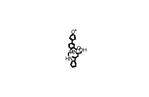 CCOc1ccc(-c2ccc(OC)cc2)cc1C(=O)NC(CO)Cc1c[nH]c2ccccc12